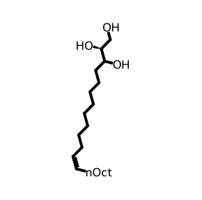 CCCCCCCC/C=C\CCCCCCCCC(O)[C@@H](O)CO